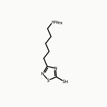 CCCCCCCCCCCc1nsc(S)n1